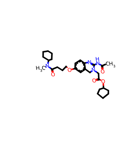 CC(=O)NC1=Nc2ccc(OCCCC(=O)N(C)C3CCCCC3)cc2CN1CC(=O)OC1CCCCC1